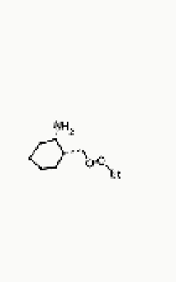 CCOOC[C@@H]1CCCC[C@@H]1N